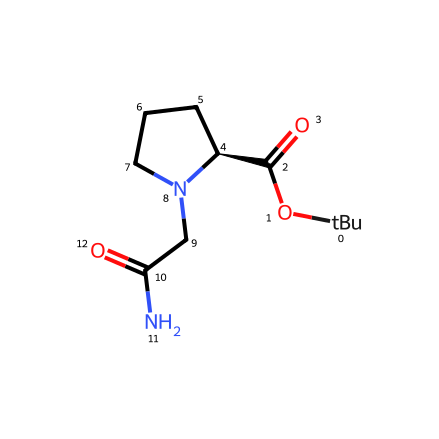 CC(C)(C)OC(=O)[C@@H]1CCCN1CC(N)=O